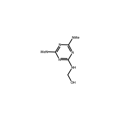 CNc1nc(NC)nc(NCO)n1